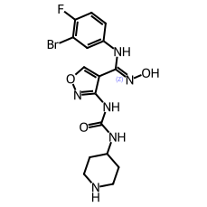 O=C(Nc1nocc1/C(=N/O)Nc1ccc(F)c(Br)c1)NC1CCNCC1